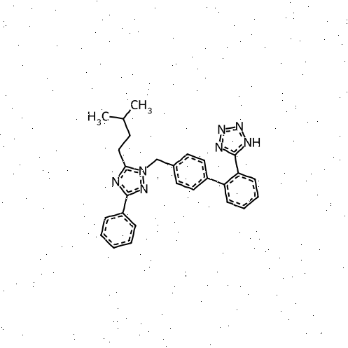 CC(C)CCc1nc(-c2ccccc2)nn1Cc1ccc(-c2ccccc2-c2nnn[nH]2)cc1